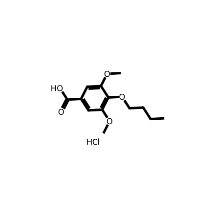 CCCCOc1c(OC)cc(C(=O)O)cc1OC.Cl